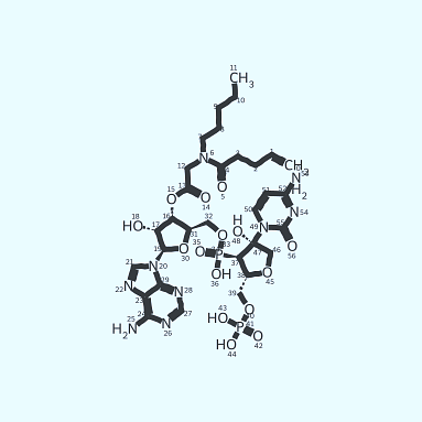 C=CCCC(=O)N(CCCCC)CC(=O)O[C@H]1[C@@H](O)[C@H](n2cnc3c(N)ncnc32)O[C@@H]1COP(=O)(O)[C@@H]1[C@@H](COP(=O)(O)O)OC[C@]1(O)n1ccc(N)nc1=O